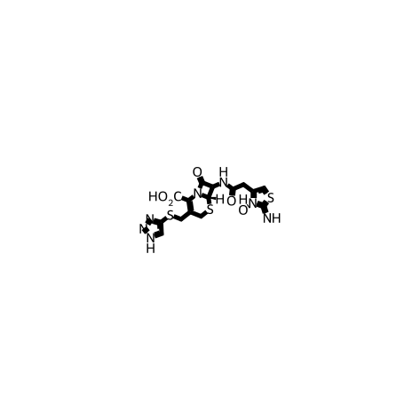 N=c1scc(CC(=O)NC2C(=O)N3C(C(=O)O)=C(CSc4c[nH]nn4)CS[C@@H]23)n1O